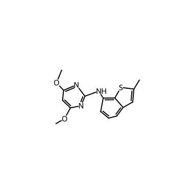 COc1cc(OC)nc(Nc2cccc3cc(C)sc23)n1